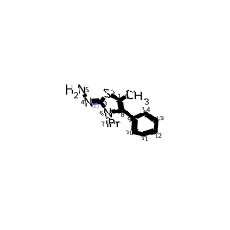 Cc1s/c(=N\N)n(C(C)C)c1-c1ccccc1